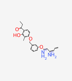 C=C/C=C(N)\C=C(/N)Oc1cccc(COc2ccc(C(=O)CC)c(O)c2C)c1